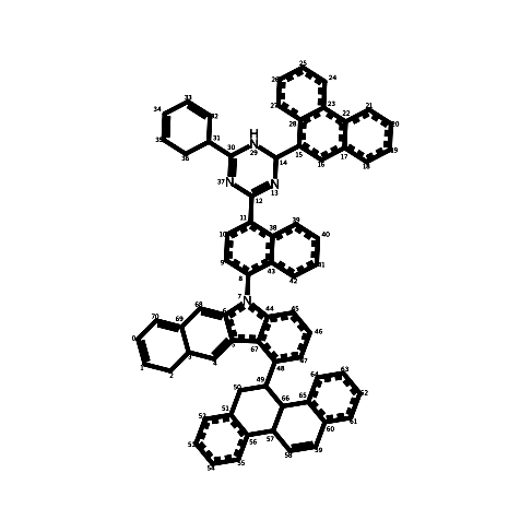 C1=CCC2C=c3c(n(-c4ccc(C5=NC(c6cc7ccccc7c7ccccc67)NC(C6C=CC=CC6)=N5)c5ccccc45)c4cccc(C5Cc6ccccc6C6C=Cc7ccccc7C65)c34)=CC2=C1